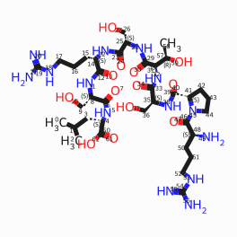 CC(C)C[C@H](NC(=O)[C@H](CO)NC(=O)[C@H](CCCNC(=N)N)NC(=O)[C@H](CO)NC(=O)[C@@H](NC(=O)[C@H](CO)NC(=O)[C@@H]1CCCN1C(=O)[C@@H](N)CCCNC(=N)N)[C@@H](C)O)C(=O)O